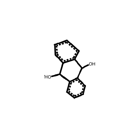 OC1c2c[c]ccc2C(O)c2ccccc21